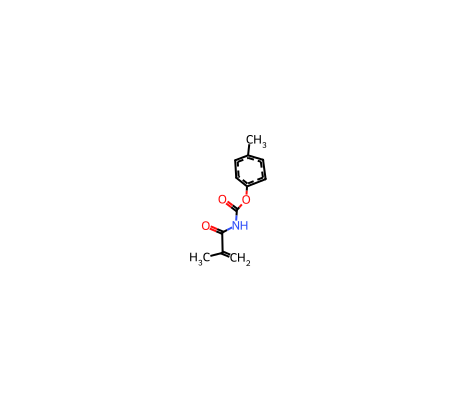 C=C(C)C(=O)NC(=O)Oc1ccc(C)cc1